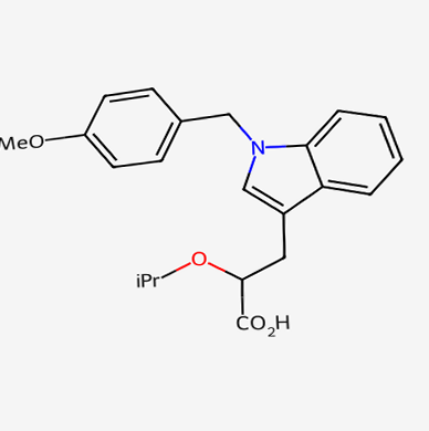 COc1ccc(Cn2cc(CC(OC(C)C)C(=O)O)c3ccccc32)cc1